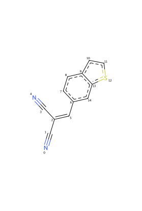 N#CC(C#N)=Cc1ccc2ccsc2c1